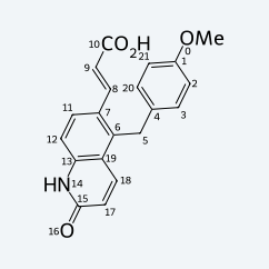 COc1ccc(Cc2c(C=CC(=O)O)ccc3[nH]c(=O)ccc23)cc1